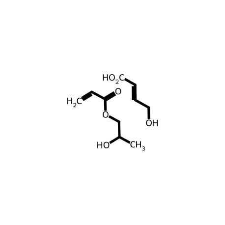 C=CC(=O)OCC(C)O.O=C(O)C=CCO